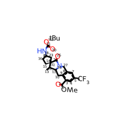 COC(=O)c1cc(C(F)(F)F)cc2c1CC1C(C)[C@@]3(CC[C@@H](NC(=O)OC(C)(C)C)C3)C(=O)N1C2